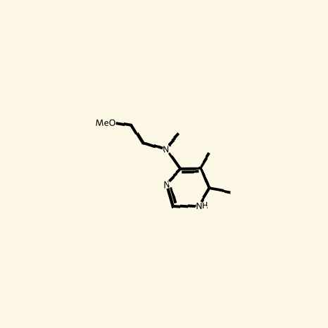 COCCN(C)C1=C(C)C(C)NC=N1